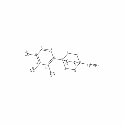 CCCCCCCC12CCC(c3ccc(CC)c(C#N)c3C#N)(CC1)CC2